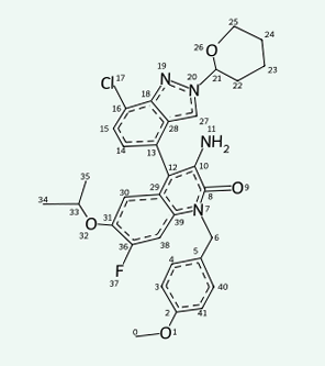 COc1ccc(Cn2c(=O)c(N)c(-c3ccc(Cl)c4nn(C5CCCCO5)cc34)c3cc(OC(C)C)c(F)cc32)cc1